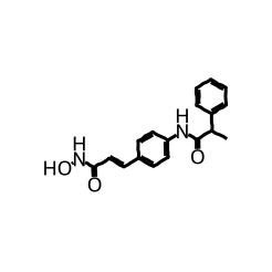 CC(C(=O)Nc1ccc(/C=C/C(=O)NO)cc1)c1ccccc1